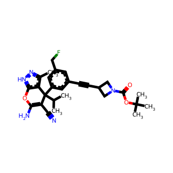 Cc1n[nH]c2c1C(c1cc(C#CC3CN(C(=O)OC(C)(C)C)C3)cc(CF)c1)(C(C)C)C(C#N)=C(N)O2